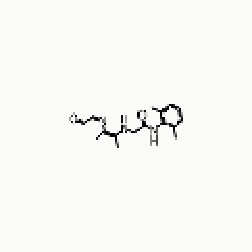 CC(/N=C\C=O)=C(\C)NCC(=O)Nc1c(C)cccc1C